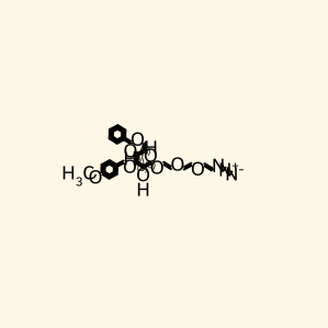 COc1ccc(CO[C@@H]2[C@H](O)[C@@H](OCCOCCOCCN=[N+]=[N-])O[C@@H]3COC(c4ccccc4)O[C@@H]23)cc1